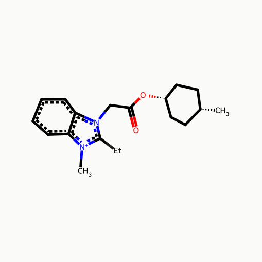 CCc1n(CC(=O)O[C@H]2CC[C@@H](C)CC2)c2ccccc2[n+]1C